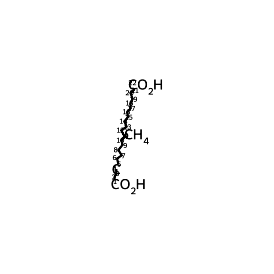 C.O=C(O)CCCCCCCCCCCCCCCCCCCCC(=O)O